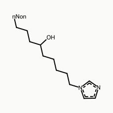 CCCCCCCCCCCCC(O)CCCCCn1ccnc1